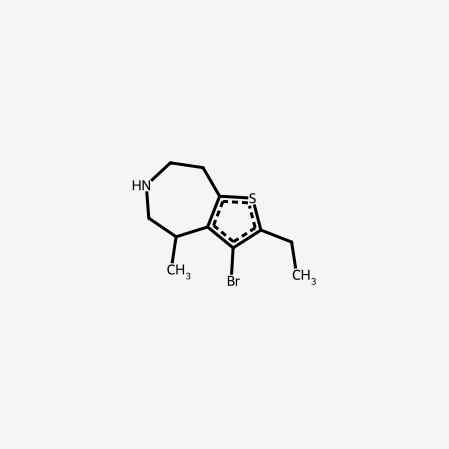 CCc1sc2c(c1Br)C(C)CNCC2